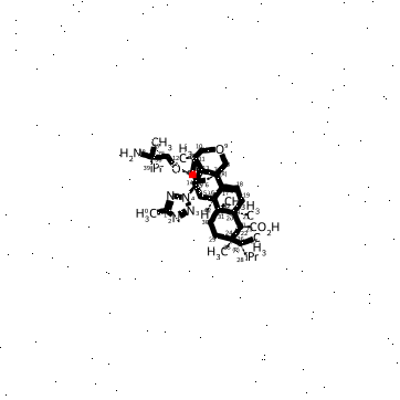 Cc1nnn([C@@H]2C[C@@]34COC[C@@](C)([C@@H]3CC[C@H]3C4=CC[C@@]4(C)[C@H](C(=O)O)[C@@](C)([C@H](C)C(C)C)CC[C@]34C)[C@H]2OC[C@](C)(N)C(C)C)n1